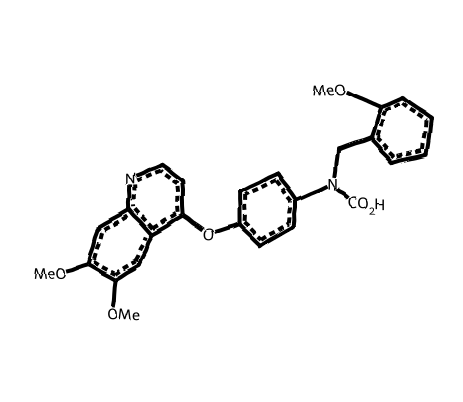 COc1ccccc1CN(C(=O)O)c1ccc(Oc2ccnc3cc(OC)c(OC)cc23)cc1